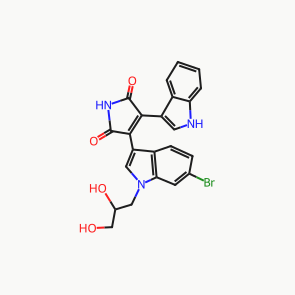 O=C1NC(=O)C(c2cn(CC(O)CO)c3cc(Br)ccc23)=C1c1c[nH]c2ccccc12